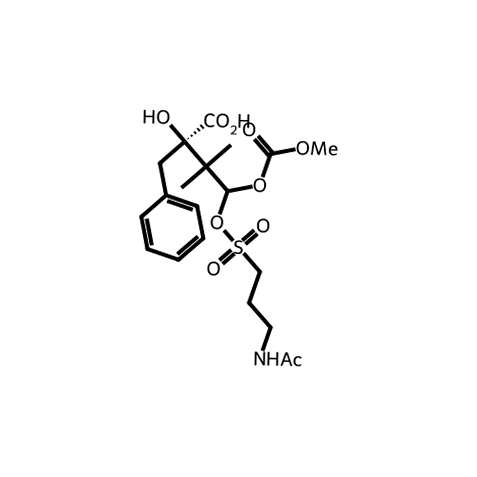 COC(=O)OC(OS(=O)(=O)CCCNC(C)=O)C(C)(C)[C@](O)(Cc1ccccc1)C(=O)O